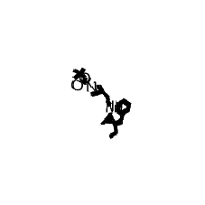 CCC(=Cc1ccccc1)C1CC1NCCC1CN(C(=O)OC(C)(C)C)C1